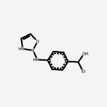 CCC(O)c1ccc(NN2NC=CO2)cc1